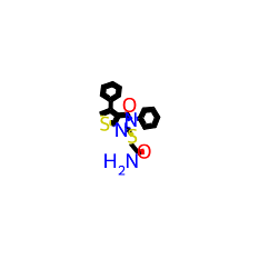 NC(=O)CSc1nc2scc(-c3ccccc3)c2c(=O)n1-c1ccccc1